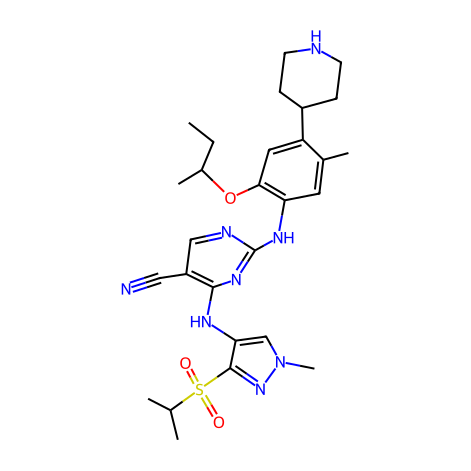 CCC(C)Oc1cc(C2CCNCC2)c(C)cc1Nc1ncc(C#N)c(Nc2cn(C)nc2S(=O)(=O)C(C)C)n1